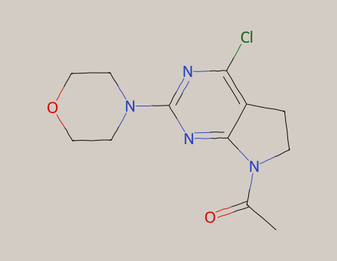 CC(=O)N1CCc2c(Cl)nc(N3CCOCC3)nc21